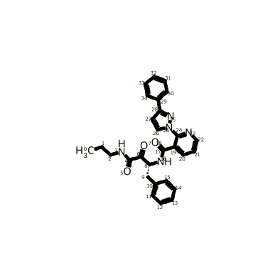 CCCNC(=O)C(=O)[C@@H](Cc1ccccc1)NC(=O)c1cccnc1-n1ccc(-c2ccccc2)n1